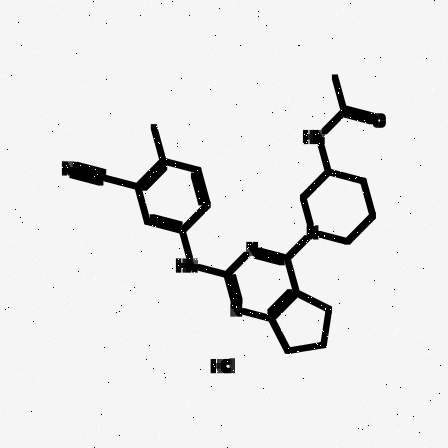 CC(=O)NC1CCCN(c2nc(Nc3ccc(C)c(C#N)c3)nc3c2CCC3)C1.Cl